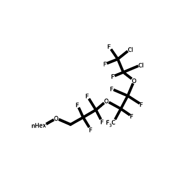 CCCCCCOCC(F)(F)C(F)(F)OC(F)(C(F)(F)F)C(F)(F)OC(F)(Cl)C(F)(F)Cl